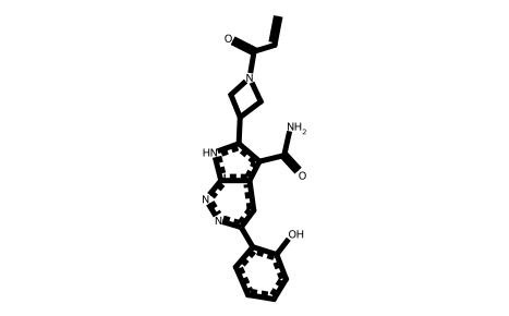 C=CC(=O)N1CC(c2[nH]c3nnc(-c4ccccc4O)cc3c2C(N)=O)C1